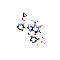 Cc1cc(Cn2c(-c3cccnc3OCC3CC3)nc3c2c(=O)n(CCCO)c(=O)n3C(C)C)ccc1F